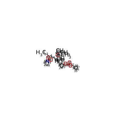 CCCCC[C@@H](CC[C@H]1C(O[Si](CC)(CC)CC)C[C@@H]2Cc3c(cccc3OCC(=O)OCc3ccccc3)C[C@@H]21)OC(=O)N1CCCCC1